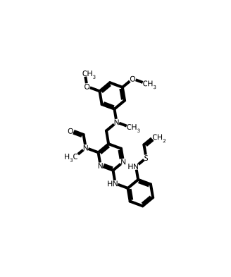 C=CSNc1ccccc1Nc1ncc(CN(C)c2cc(OC)cc(OC)c2)c(N(C)C=O)n1